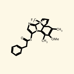 COC1=C(C)CC23C=CC=C[N+]2(C(F)(F)F)c2ncc(SC(=O)Cc4ccccc4)n2C3=C1C